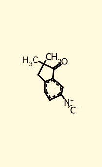 [C-]#[N+]c1ccc2c(c1)C(=O)C(C)(C)C2